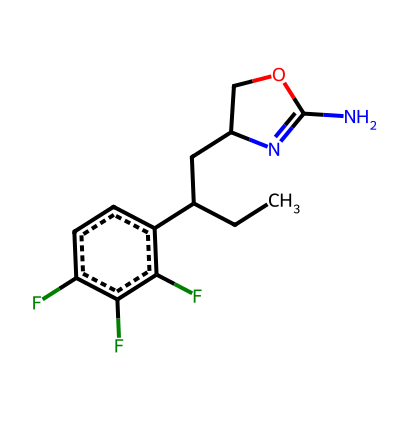 CCC(CC1COC(N)=N1)c1ccc(F)c(F)c1F